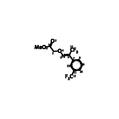 COC(=O)CON=C(c1cccc(C(F)(F)F)c1)C(F)(F)F